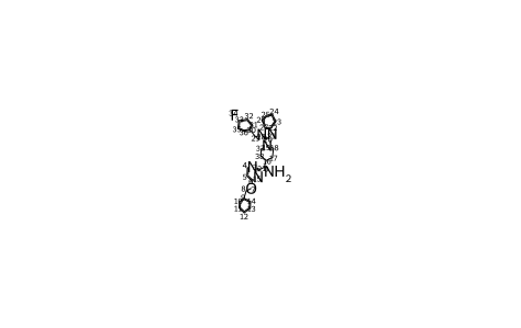 NC(c1nccc(OCc2ccccc2)n1)C1CCN(c2nc3ccccc3n2Cc2ccc(F)cc2)CC1